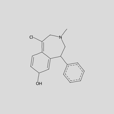 CN1CC(Cl)=C2C=CC(O)C=C2C(c2ccccc2)C1